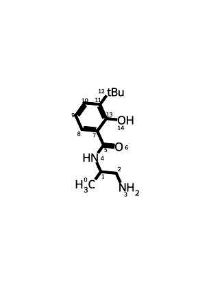 CC(CN)NC(=O)c1cccc(C(C)(C)C)c1O